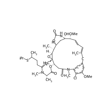 COc1cc2cc(c1Cl)N(C)C(=O)C[C@H](OC(=O)[C@H](C)N(C)C(=O)CCC(C)SC(C)C)[C@]1(C)O[C@H]1[C@H](C)[C@@H]1C[C@@](O)(NC(=O)O1)[C@H](OC)/C=C/C=C(\C)C2